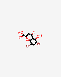 O=C(O)c1cc(=O)c2c(O)c(Br)cc(Br)c2o1